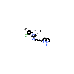 COc1c(Cl)cc(C(C)C)cc1[C@@H](C(=O)O)N1CC[C@@H](N(C)CCCCCc2ccc3c(n2)NCCC3)C1